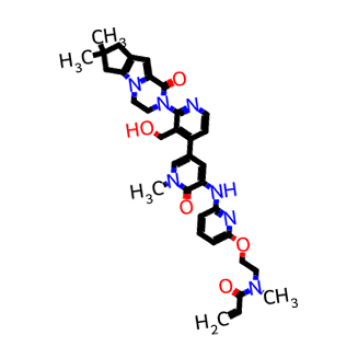 C=CC(=O)N(C)CCOc1cccc(Nc2cc(-c3ccnc(N4CCn5c(cc6c5CC(C)(C)C6)C4=O)c3CO)cn(C)c2=O)n1